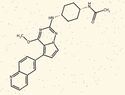 COc1nc(N[C@H]2CC[C@@H](NC(C)=O)CC2)nn2ccc(-c3ccc4ncccc4c3)c12